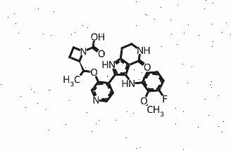 COc1c(F)cccc1Nc1c(-c2ccncc2OC(C)[C@H]2CCN2C(=O)O)[nH]c2c1C(=O)NCC2